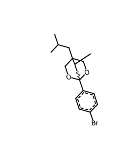 CC(C)CC12COC(c3ccc(Br)cc3)(OC1)SC2C